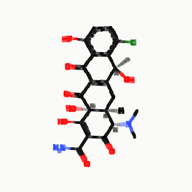 CN(C)[C@@H]1C(=O)C(C(N)=O)=C(O)[C@@]2(O)C(=O)C3=C(C[C@@H]12)[C@](C)(O)c1c(Cl)ccc(O)c1C3=O